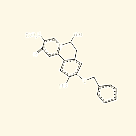 CCOC(=O)c1cn2c(cc1=O)-c1cc(O)c(OCc3ccccc3)cc1CC2C(C)(C)C